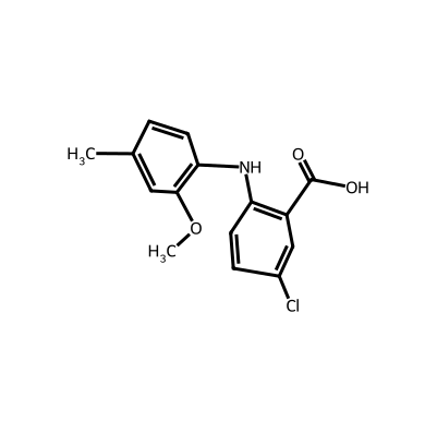 COc1cc(C)ccc1Nc1ccc(Cl)cc1C(=O)O